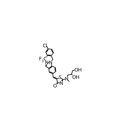 CN(CC(O)CO)C1=NC(=O)/C(=C/c2ccc3c(cnn3Cc3ccc(Cl)cc3C(F)(F)F)c2)S1